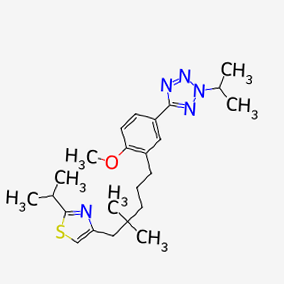 COc1ccc(-c2nnn(C(C)C)n2)cc1CCCC(C)(C)Cc1csc(C(C)C)n1